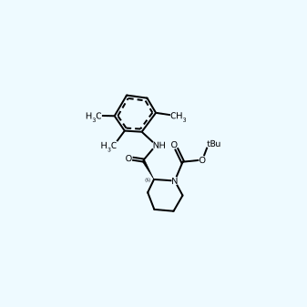 Cc1ccc(C)c(NC(=O)[C@@H]2CCCCN2C(=O)OC(C)(C)C)c1C